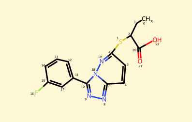 CCC(Sc1ccc2nnc(-c3cccc(F)c3)n2n1)C(=O)O